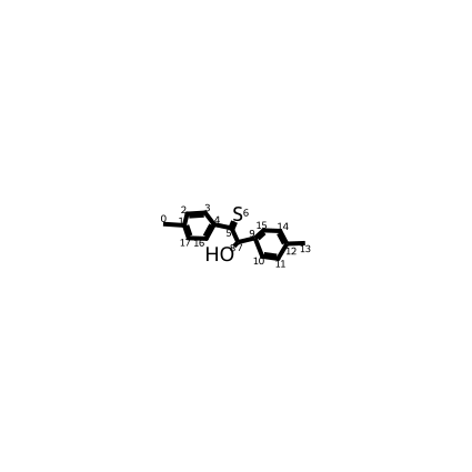 Cc1ccc(C(=S)C(O)c2ccc(C)cc2)cc1